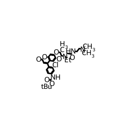 CCN(CC(=O)NCCN(C)C)C(=O)[C@@H](C)Oc1ccc2c(-c3ccc(NC(=O)OC(C)(C)C)cc3Cl)cc(=O)oc2c1